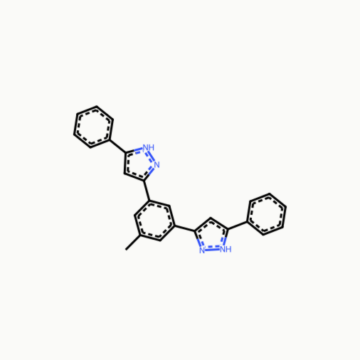 Cc1cc(-c2cc(-c3ccccc3)[nH]n2)cc(-c2cc(-c3ccccc3)[nH]n2)c1